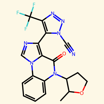 CC1OCCC1n1c(=O)c2c(-c3c(C(F)(F)F)nnn3C#N)ncn2c2ccccc21